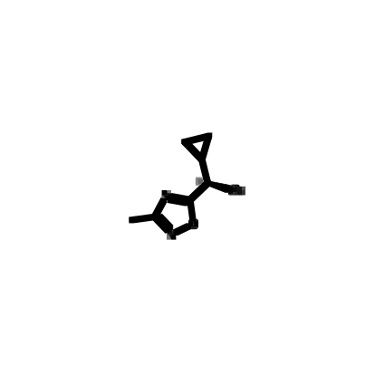 Cc1noc([C@@H](C2CC2)C(C)(C)C)n1